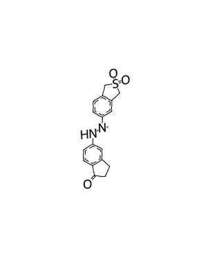 O=C1CCc2cc(N[N]c3ccc4c(c3)CS(=O)(=O)C4)ccc21